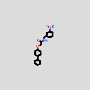 O=C(COc1ccc(-c2ccccc2)cc1)NCc1cccc([N+](=O)[O-])c1